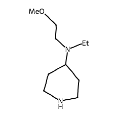 CCN(CCOC)C1CCNCC1